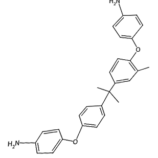 Cc1cc(C(C)(C)c2ccc(Oc3ccc(N)cc3)cc2)ccc1Oc1ccc(N)cc1